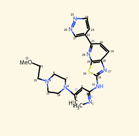 C/N=C(\C=C(/C)N1CCN(CCOC)CC1)Nc1nc2ccc(-c3ccnnc3)nc2s1